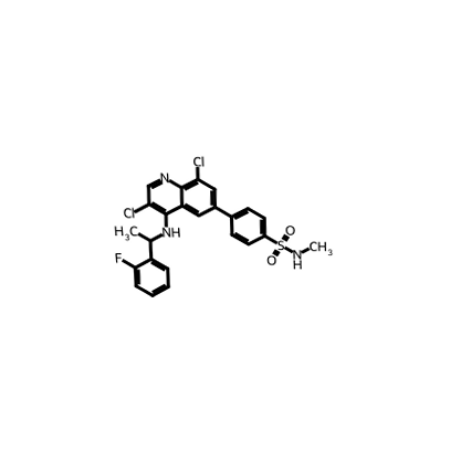 CNS(=O)(=O)c1ccc(-c2cc(Cl)c3ncc(Cl)c(NC(C)c4ccccc4F)c3c2)cc1